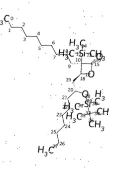 CCCCCCCCCC[C@]1([Si](C)(C)C)C(=O)O[C@H]1C[C@@H](CCCCCCC)O[Si](C)(C)C(C)(C)C